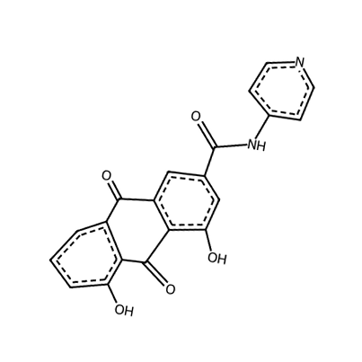 O=C(Nc1ccncc1)c1cc(O)c2c(c1)C(=O)c1cccc(O)c1C2=O